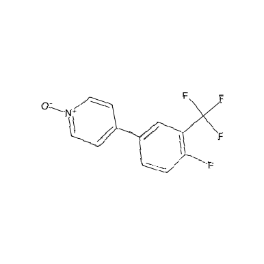 [O-][n+]1ccc(-c2ccc(F)c(C(F)(F)F)c2)cc1